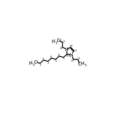 CCCCCCCCC1N(CCC)C=CN1CCC